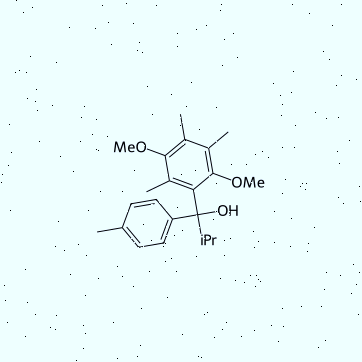 COc1c(C)c(C)c(OC)c(C(O)(c2ccc(C)cc2)C(C)C)c1C